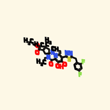 CCOC(=O)C1CC2(CC1(C)C)N(CC)C(=O)c1c(O)c(=O)c(-c3nnc(Cc4ccc(F)cc4F)s3)cn1N2C